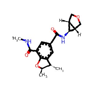 CNC(=O)c1cc(C(=O)N[C@H]2[C@@H]3COC[C@@H]32)cc2c1O[C@H](C)[C@H]2C